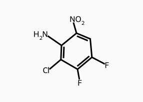 Nc1c([N+](=O)[O-])cc(F)c(F)c1Cl